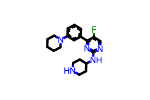 Fc1cnc(NC2CCNCC2)nc1-c1cccc(N2CCCCC2)c1